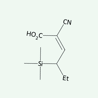 CCC(C=C(C#N)C(=O)O)[Si](C)(C)C